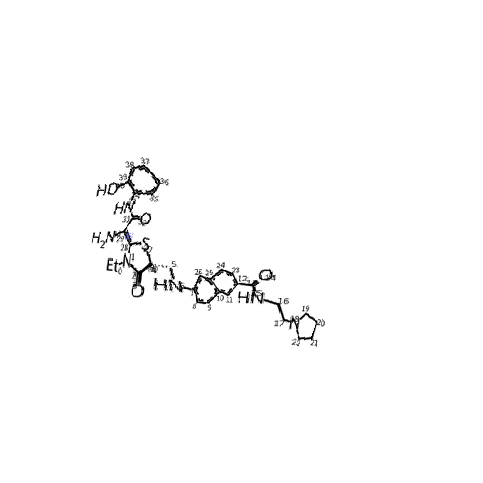 CCN1C(=O)[C@@H](CNc2ccc3cc(C(=O)NCCN4CCCC4)ccc3c2)S/C1=C(/N)C(=O)Nc1ccccc1O